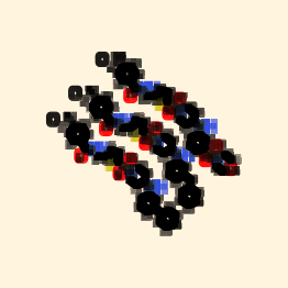 O=C(NCc1ccc(S(=O)(=O)N2CCC(Nc3cccc(-c4ccccc4)c3)CC2)s1)c1ccc([N+](=O)[O-])cc1.O=C(NCc1ccc(S(=O)(=O)N2CCC(Nc3cccc(Cc4ccccc4)c3)CC2)s1)c1ccc([N+](=O)[O-])cc1.O=C(NCc1ccc(S(=O)(=O)N2CCC(Nc3cccc(S(=O)(=O)N4CCOCC4)c3)CC2)s1)c1ccc([N+](=O)[O-])cc1